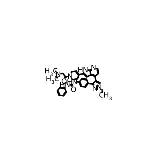 CCn1cc(-c2ccnc3[nH]c(C4=CCN(C(=O)CN(C)C)CC4)cc23)c(-c2ccc(NC(=O)Nc3ccccc3)cc2)n1